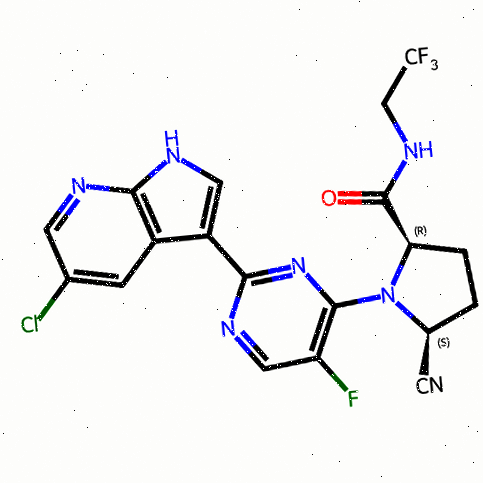 N#C[C@@H]1CC[C@H](C(=O)NCC(F)(F)F)N1c1nc(-c2c[nH]c3ncc(Cl)cc23)ncc1F